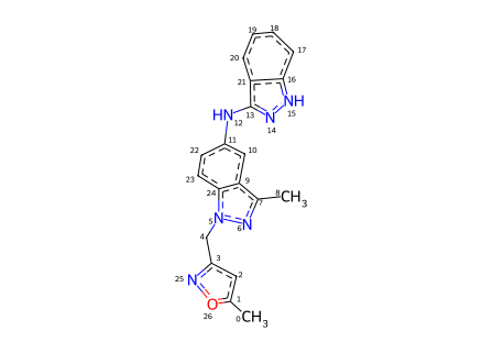 Cc1cc(Cn2nc(C)c3cc(Nc4n[nH]c5ccccc45)ccc32)no1